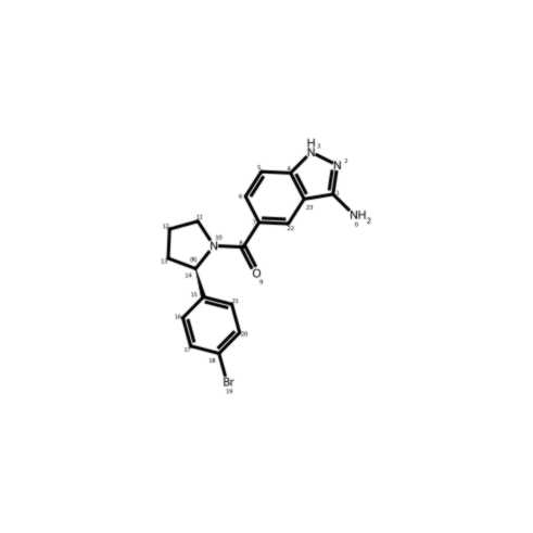 Nc1n[nH]c2ccc(C(=O)N3CCC[C@@H]3c3ccc(Br)cc3)cc12